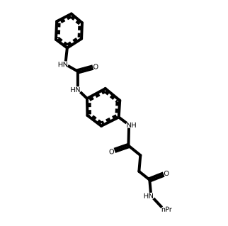 CCCNC(=O)CCC(=O)Nc1ccc(NC(=O)Nc2ccccc2)cc1